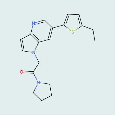 CCc1ccc(-c2cnc3ccn(CC(=O)N4CCCC4)c3c2)s1